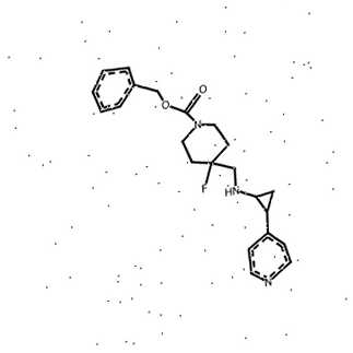 O=C(OCc1ccccc1)N1CCC(F)(CNC2CC2c2ccncc2)CC1